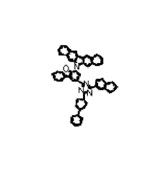 c1ccc(-c2ccc(-c3nc(-c4ccc5ccccc5c4)nc(-c4cc(-n5c6cc7ccccc7cc6c6cc7ccccc7cc65)c5oc6ccccc6c5c4)n3)cc2)cc1